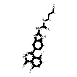 O=C(Nc1nc2cc(-c3n[nH]c(=O)c4c(F)ccc(F)c34)ccc2[nH]1)OCCCCl